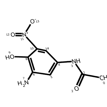 CC(=O)Nc1cc(N)c(O)c([N+](=O)[O-])c1